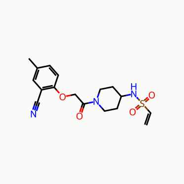 C=CS(=O)(=O)NC1CCN(C(=O)COc2ccc(C)cc2C#N)CC1